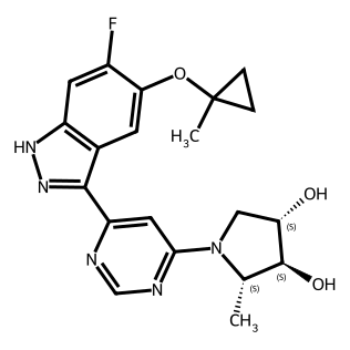 C[C@H]1[C@H](O)[C@@H](O)CN1c1cc(-c2n[nH]c3cc(F)c(OC4(C)CC4)cc23)ncn1